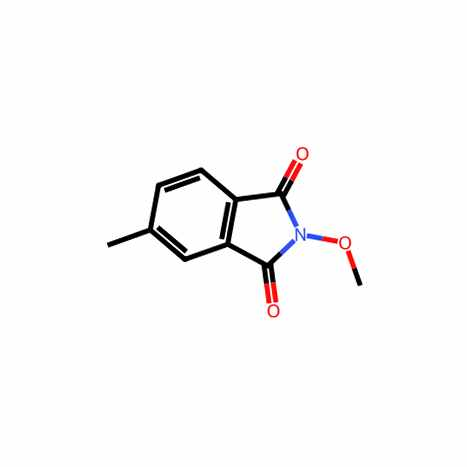 CON1C(=O)c2ccc(C)cc2C1=O